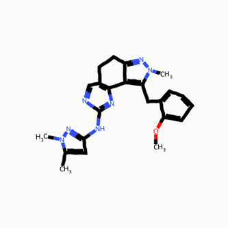 COc1ccccc1Cc1c2c(nn1C)CCc1cnc(Nc3cc(C)n(C)n3)nc1-2